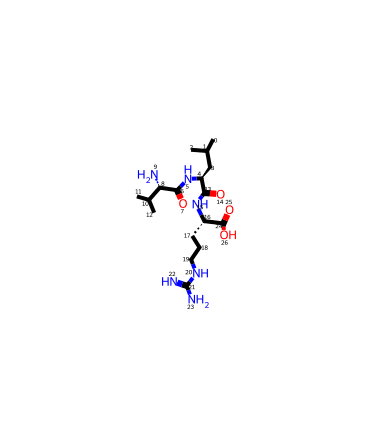 CC(C)C[C@H](NC(=O)[C@@H](N)C(C)C)C(=O)N[C@@H](CCCNC(=N)N)C(=O)O